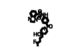 CC(F)CCCC1(O)CCN(C(=O)c2ccc(NS(=O)(=O)c3cccc4nccnc34)cc2)CC1